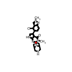 Cn1cc2c(Cl)c(-c3c[nH]c4nc(N5C6CNCC5COC6)n(C)c(=O)c34)ccc2n1